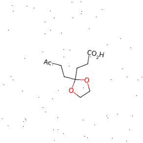 CC(=O)CCC1(CCC(=O)O)OCCO1